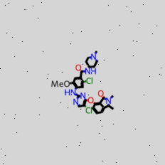 COc1cc(C(=O)NC2CCN(C)CC2)c(Cl)cc1Nc1ncc(Cl)c(Oc2cccc3c2C(=O)N(C)C3C)n1